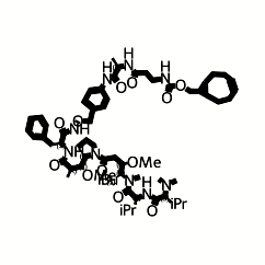 CC[C@H](C)[C@@H]([C@@H](CC(=O)N1CCC[C@H]1[C@H](OC)[C@@H](C)C(=O)N[C@@H](Cc1ccccc1)C(=O)NOCc1ccc(NC(=O)[C@@H](C)NC(=O)CCNC(=O)OCC2C3CCC#CCCC32)cc1)OC)N(C)C(=O)[C@@H](NC(=O)[C@H](C(C)C)N(C)C)C(C)C